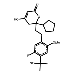 COc1cc(C(C)(C)C#N)c(F)cc1CCC1(C2CCCC2)CC(O)=CC(=O)O1